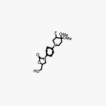 COC1(OC)CCN(c2ccc(N3CC(CO)OC3=O)cc2)CC1F